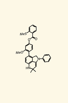 COc1cc(OC(=O)c2ccccc2SC)ccc1-c1ccc2c3c1CN(c1ccccc1)C3=CC(C)(C)N2